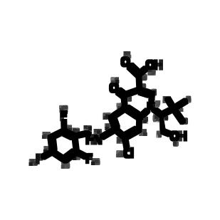 CC(C)(C)[C@@H](CO)n1cc(C(=O)O)c(=O)c2cc(NCc3c(F)cc(F)cc3F)c(Cl)cc21